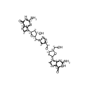 Nc1nc2c(ncn2[C@H]2C[C@H](OCc3cn(C[C@H]4O[C@@H](n5cnc6c(=O)[nH]c(N)nc65)C[C@@H]4O)nn3)[C@@H](CO)O2)c(=O)[nH]1